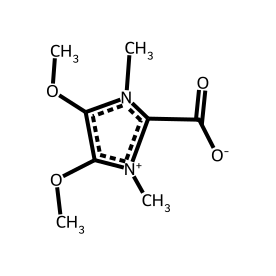 COc1c(OC)[n+](C)c(C(=O)[O-])n1C